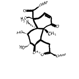 C=C1C(CC(=O)OC)[C@@]2(C)C(=O)C=C[C@@](C)(C(=O)OC)[C@@H]2[C@@H](O)[C@H]1O